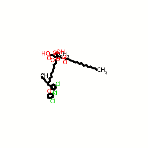 CCCCCCCCCCCCCCCC(=O)OCC(C)C(CCC(=O)O)(OC(=O)CCCCCCCCCC(CCCC)Cc1cc(Cl)ccc1Oc1ccc(Cl)cc1Cl)C(=O)O